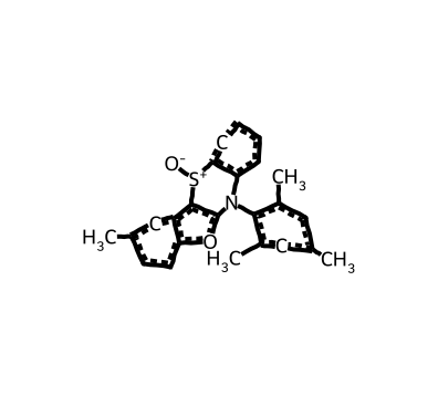 Cc1cc(C)c(N2c3ccccc3[S+]([O-])c3c2oc2ccc(C)cc32)c(C)c1